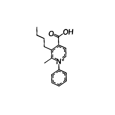 CCCCc1c(C(=O)O)cc[n+](-c2ccccc2)c1C